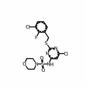 O=S(=O)(Nc1cc(Cl)nc(SCc2cccc(Cl)c2F)n1)N1CCOCC1